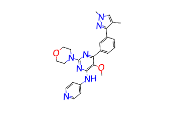 COc1c(Nc2ccncc2)nc(N2CCOCC2)nc1-c1cccc(-c2nn(C)cc2C)c1